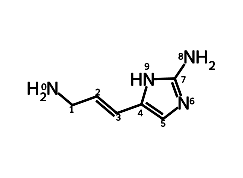 NC/C=C/c1cnc(N)[nH]1